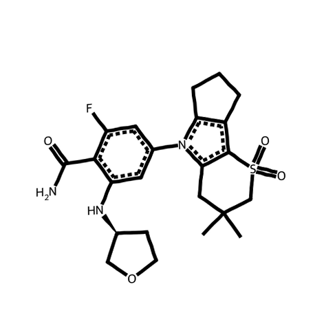 CC1(C)Cc2c(c3c(n2-c2cc(F)c(C(N)=O)c(N[C@H]4CCOC4)c2)CCC3)S(=O)(=O)C1